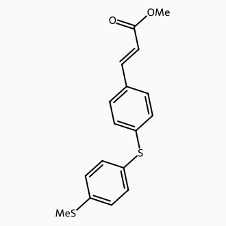 COC(=O)/C=C/c1ccc(Sc2ccc(SC)cc2)cc1